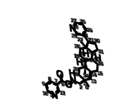 CC1(CNOC(=O)c2cccnc2)C=C2CC[C@H]3[C@H](CC[C@]4(C)C(c5cccnc5)=CC[C@@H]34)[C@@]2(C)CC1